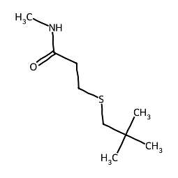 CNC(=O)CCSCC(C)(C)C